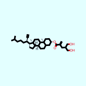 C#C[C@H](CCCC(C)C)[C@H]1CC[C@H]2[C@@H]3CCC4C[C@@H](OC(=O)C(=C)CC(CO)CO)CC[C@]4(C)C3CC[C@]12C